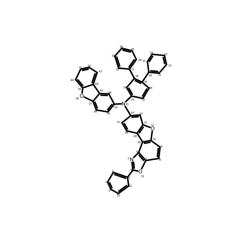 c1ccc(-c2nc3c(ccc4oc5cc(N(c6ccc(-c7ccccc7)c(-c7ccccc7)c6)c6ccc7oc8ccccc8c7c6)ccc5c43)o2)cc1